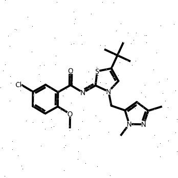 COc1ccc(Cl)cc1C(=O)N=c1sc(C(C)(C)C)cn1Cc1cc(C)nn1C